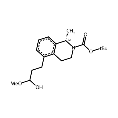 COC(O)CCc1cccc2c1CCN(C(=O)OC(C)(C)C)[C@H]2C